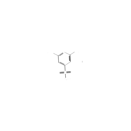 CNS(=O)(=O)c1cc(C(=O)O)nc(C(F)(F)F)c1.[LiH]